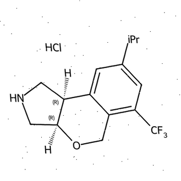 CC(C)c1cc2c(c(C(F)(F)F)c1)CO[C@H]1CNC[C@@H]21.Cl